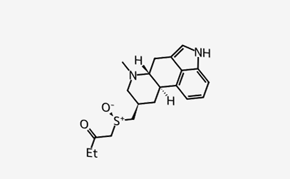 CCC(=O)C[S@@+]([O-])C[C@@H]1C[C@@H]2c3cccc4[nH]cc(c34)C[C@H]2N(C)C1